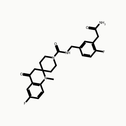 CN1c2ccc(F)cc2C(=O)CC12CCN(C(=O)NCc1ccc(F)c(CC(N)=O)c1)CC2